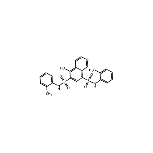 Cc1ccccc1NS(=O)(=O)c1cc(S(=O)(=O)Nc2ccccc2C)c2cnccc2c1O